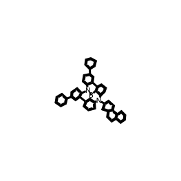 c1ccc(-c2ccc3c(c2)-c2cccc4c2B2c5c(cccc5N4c4ccc5c(ccc6ccccc65)c4)-c4cc(-c5ccccc5)ccc4N23)cc1